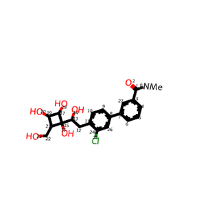 CNC(=O)c1cccc(-c2ccc(CC(O)C3(O)C(O)C(O)C3CO)c(Cl)c2)c1